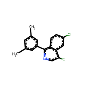 Cc1cc(C)cc(-c2ncc(Cl)c3cc(Cl)ccc23)c1